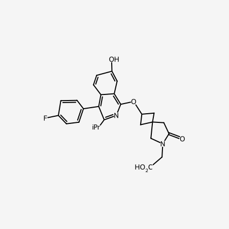 CC(C)c1nc(OC2CC3(CC(=O)N(CC(=O)O)C3)C2)c2cc(O)ccc2c1-c1ccc(F)cc1